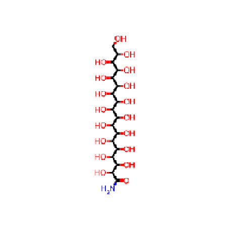 NC(=O)C(O)C(O)C(O)C(O)C(O)C(O)C(O)C(O)C(O)C(O)C(O)C(O)C(O)C(O)C(O)C(O)CO